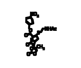 CC(=O)NCCSC1=C(C(=O)OCc2ccc([N+](=O)[O-])cc2)N2C(=O)[C@@H](C3(C)COC(=O)O3)C2C1